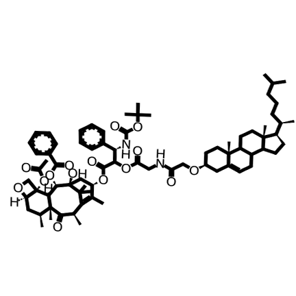 CC(=O)O[C@@]12CO[C@@H]1C[C@H](C)[C@@]1(C)C(=O)[C@H](C)C3=C(C)[C@@H](OC(=O)C(OC(=O)CNC(=O)CO[C@H]4CC[C@@]5(C)C(=CCC6C5CC[C@@]5(C)C6CC[C@@H]5[C@H](C)CCCC(C)C)C4)[C@@H](NC(=O)OC(C)(C)C)c4ccccc4)C[C@@](O)([C@@H](OC(=O)c4ccccc4)[C@H]21)C3(C)C